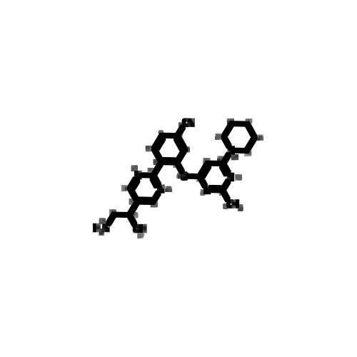 Cc1nc(Oc2cc(C#N)ccc2-c2ncc(C(O)CN)cn2)cc(N2CCCCC2)n1